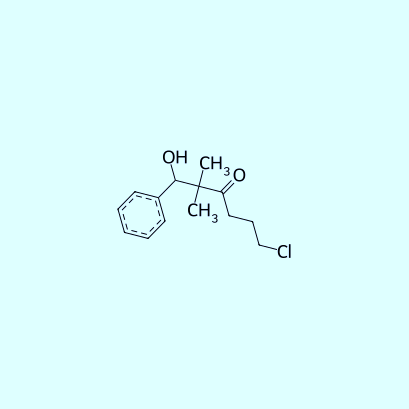 CC(C)(C(=O)CCCCl)C(O)c1ccccc1